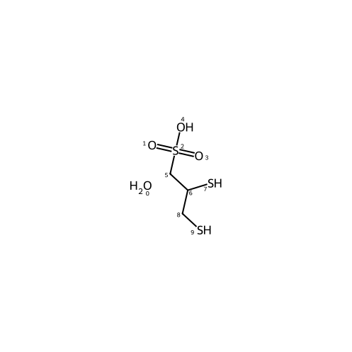 O.O=S(=O)(O)CC(S)CS